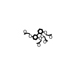 c1cc(OCC2CO2)c(OCC2CO2)c(-c2cc(OCC3CO3)ccc2OCC2CO2)c1